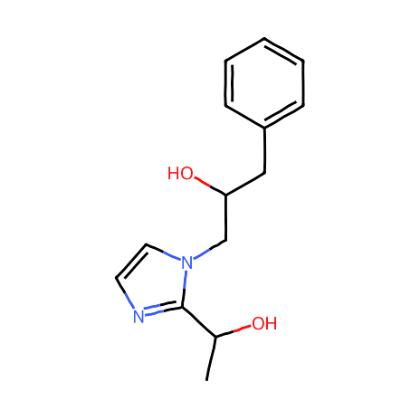 CC(O)c1nccn1CC(O)Cc1ccccc1